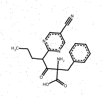 CCCC(C(=O)C(N)(Cc1ccccc1)C(=O)O)c1ncc(C#N)cn1